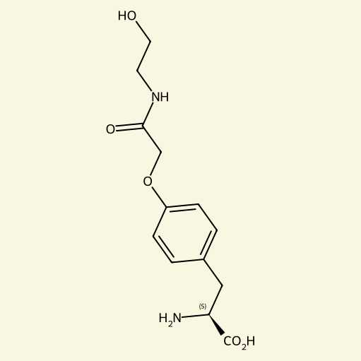 N[C@@H](Cc1ccc(OCC(=O)NCCO)cc1)C(=O)O